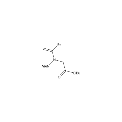 C=C(CC)N(CC(=O)OCC(C)C)NC